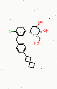 OC[C@H]1O[C@H](c2ccc(Cl)c(Cc3ccc(C4CC5(CCC5)C4)cc3)c2)C[C@@H](O)[C@@H]1O